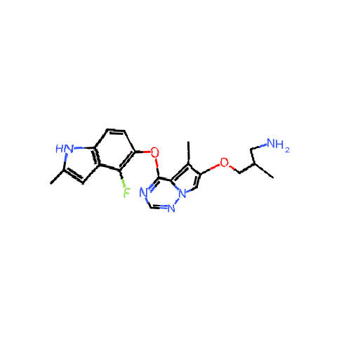 Cc1cc2c(F)c(Oc3ncnn4cc(OCC(C)CN)c(C)c34)ccc2[nH]1